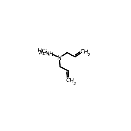 C=CCN(CC=C)NC(C)=O.Cl